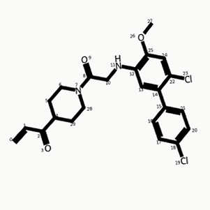 C=CC(=O)C1CCN(C(=O)CNc2cc(-c3ccc(Cl)cc3)c(Cl)cc2OC)CC1